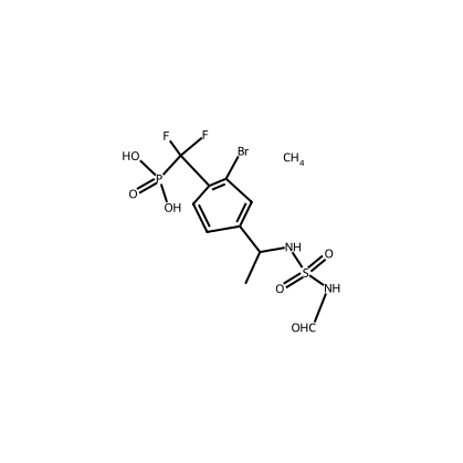 C.CC(NS(=O)(=O)NC=O)c1ccc(C(F)(F)P(=O)(O)O)c(Br)c1